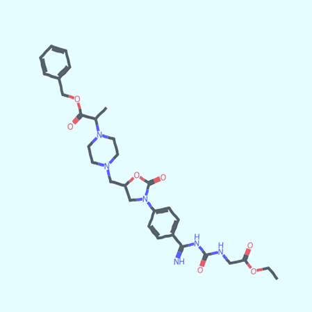 CCOC(=O)CNC(=O)NC(=N)c1ccc(N2CC(CN3CCN(C(C)C(=O)OCc4ccccc4)CC3)OC2=O)cc1